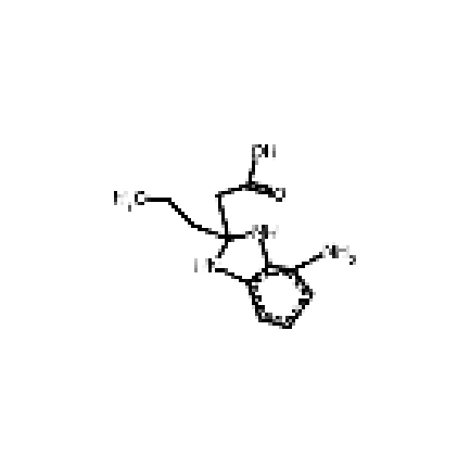 CCCC1(CC(=O)O)Nc2cccc(N)c2N1